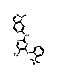 Cn1ncc2ccc(Nc3ncc(C(F)(F)F)c(Nc4ccccc4P(C)(C)=O)n3)cc21